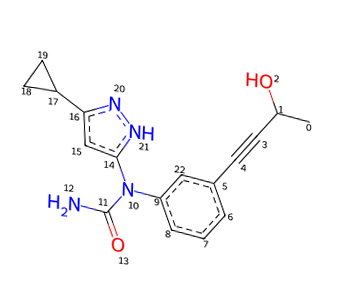 CC(O)C#Cc1cccc(N(C(N)=O)c2cc(C3CC3)n[nH]2)c1